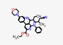 CCOC(=O)c1cc(-c2ccc(N3CCOCC3)cc2)c(C(=N)C(CC)CC(C)CC#N)c(Nc2ccccc2)n1